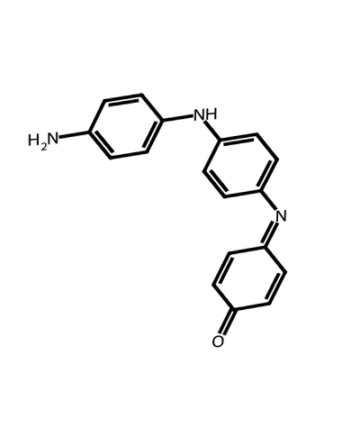 Nc1ccc(Nc2ccc(N=C3C=CC(=O)C=C3)cc2)cc1